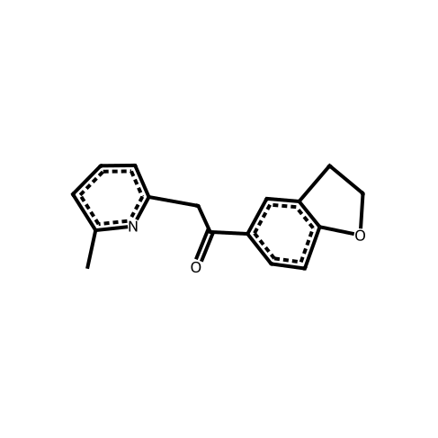 Cc1cccc(CC(=O)c2ccc3c(c2)CCO3)n1